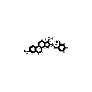 COc1ccc2c(c1)CCC1C2CC[C@@]2(C)C1C[C@H](NCc1ccccc1O)[C@@H]2O